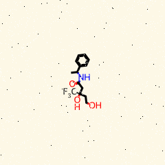 CC(NC(=O)C[C@@](O)(CCO)C(F)(F)F)c1ccccc1